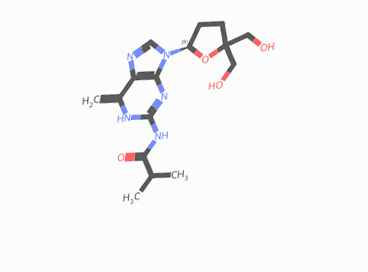 C=C1NC(NC(=O)C(C)C)=Nc2c1ncn2[C@H]1CCC(CO)(CO)O1